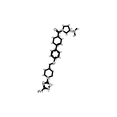 CC(C)c1noc(N2CCC(COc3ccc(C4=CCC(C(=O)N5CC[C@H](N(C)C)C5)CC4)cc3)CC2)n1